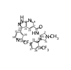 CN1C[C@@H](NC(=O)c2cnc3[nH]nc(-c4ccnc(C(F)(F)F)c4)c3c2)[C@H](c2ccccc2C(F)(F)F)C1